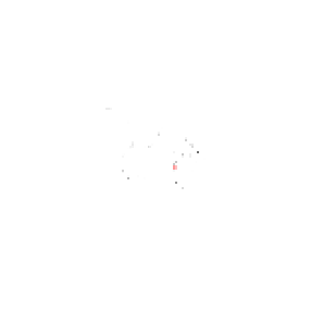 Cc1nccc(Cl)c1C(=O)N1C2CCCC1c1nn(C)c(-c3cc(F)c(F)c(F)c3)c1C2